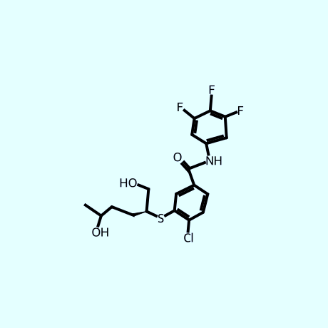 CC(O)CC[C@@H](CO)Sc1cc(C(=O)Nc2cc(F)c(F)c(F)c2)ccc1Cl